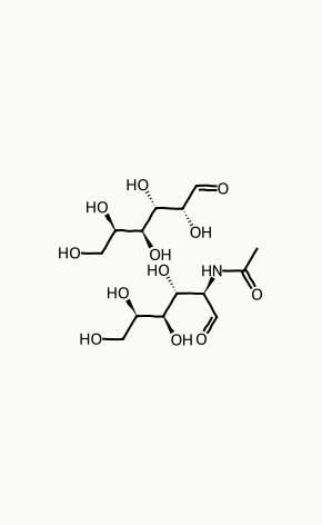 CC(=O)N[C@@H](C=O)[C@@H](O)[C@@H](O)[C@H](O)CO.O=C[C@H](O)[C@@H](O)[C@@H](O)[C@H](O)CO